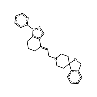 C(CN1CCC2(CC1)OCc1ccccc12)=C1CCCc2c1cnn2-c1ccccc1